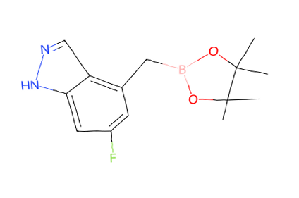 CC1(C)OB(Cc2cc(F)cc3[nH]ncc23)OC1(C)C